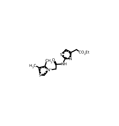 CCOC(=O)Cc1csc(NC(=O)C[n+]2csc(C)c2C)n1